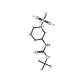 CC(C)(C)OC(=O)NC1CCCN(S(C)(=O)=O)C1